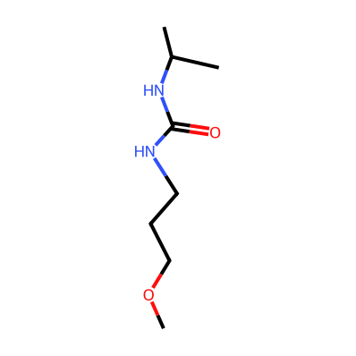 COCCCNC(=O)NC(C)C